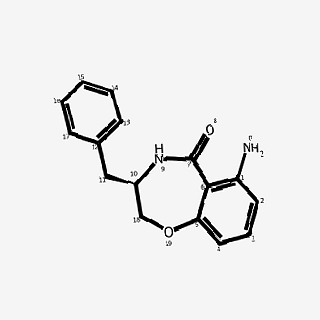 Nc1cccc2c1C(=O)N[C@H](Cc1ccccc1)CO2